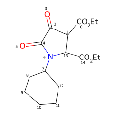 CCOC(=O)C1C(=O)C(=O)N(C2CCCCC2)C1C(=O)OCC